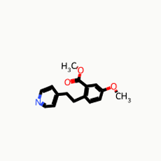 COC(=O)c1cc(OC)ccc1CCc1ccncc1